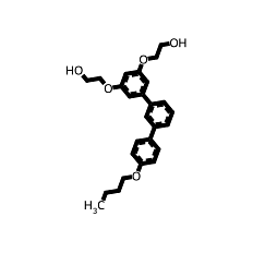 CCCCOc1ccc(-c2cccc(-c3cc(OCCO)cc(OCCO)c3)c2)cc1